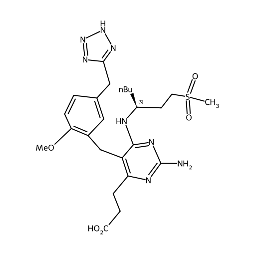 CCCC[C@@H](CCS(C)(=O)=O)Nc1nc(N)nc(CCC(=O)O)c1Cc1cc(Cc2nn[nH]n2)ccc1OC